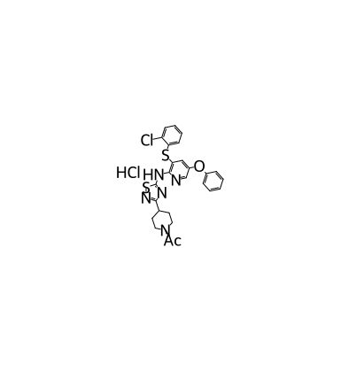 CC(=O)N1CCC(c2nsc(Nc3ncc(Oc4ccccc4)cc3Sc3ccccc3Cl)n2)CC1.Cl